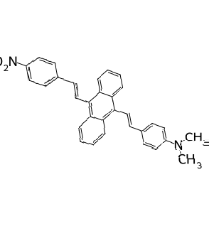 CN(C)c1ccc(C=Cc2c3ccccc3c(C=Cc3ccc([N+](=O)[O-])cc3)c3ccccc23)cc1